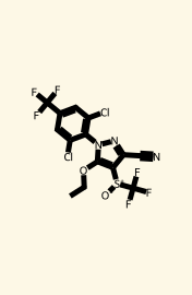 CCOc1c([S+]([O-])C(F)(F)F)c(C#N)nn1-c1c(Cl)cc(C(F)(F)F)cc1Cl